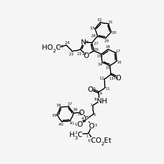 CCOC(=O)[C@@H](C)OP(=O)(CCNC(=O)CCC(=O)c1cccc(-c2oc(CCC(=O)O)nc2-c2ccccc2)c1)Oc1ccccc1